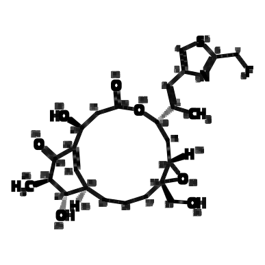 C/C(=C\c1csc(CF)n1)[C@@H]1C[C@@H]2O[C@]2(CO)CCC[C@@H]2C=C(C(=O)[C@H](C)[C@H]2O)[C@@H](O)CC(=O)O1